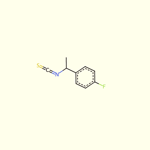 CC(N=C=S)c1ccc(F)cc1